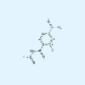 CC(=O)NC(=O)c1ccc([N+](=O)[O-])cc1C